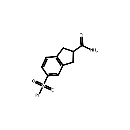 CC(C)S(=O)(=O)c1ccc2c(c1)CC(C(N)=O)C2